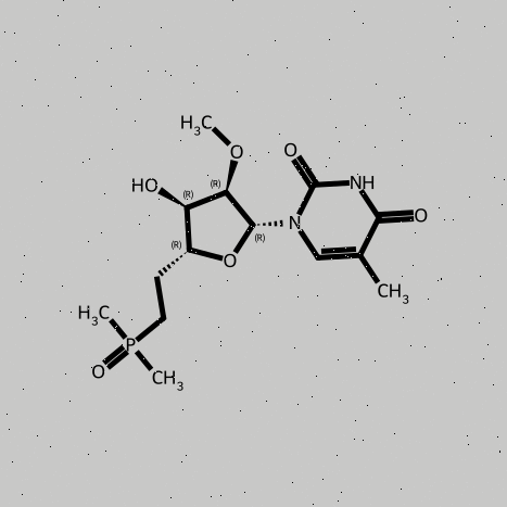 CO[C@@H]1[C@H](O)[C@@H](CCP(C)(C)=O)O[C@H]1n1cc(C)c(=O)[nH]c1=O